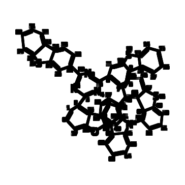 c1cc(-c2nc(-c3ccc4c(c3)sc3ccccc34)nc(-c3ccc4c(c3)sc3ccccc34)n2)c2c(c1)oc1ccc(-c3cccc4sc5cccc(-n6c7ccccc7c7ccccc76)c5c34)cc12